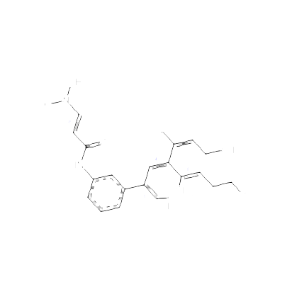 C\C=C(/C=C(C(\C)=C\CCC)/C(Cl)=C\CC)c1cccc(NC(=O)/C=C/N(C)C)c1